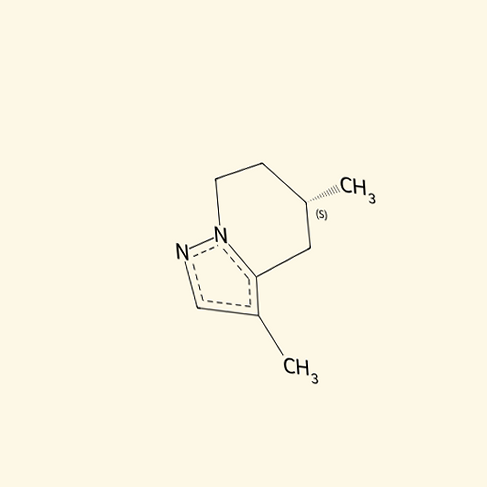 Cc1cnn2c1C[C@@H](C)CC2